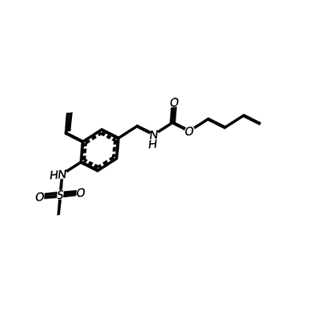 C=Cc1cc(CNC(=O)OCCCC)ccc1NS(C)(=O)=O